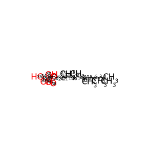 CC(C)=CCC/C(C)=C/CC/C(C)=C/CC/C=C(\C)CC/C=C(\C)CCCOC1=C(O)[C@@H](C(O)CO)OC1=O